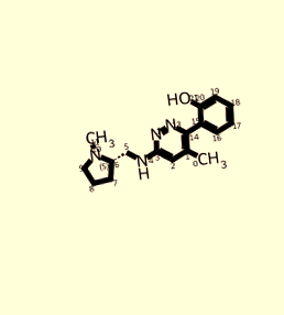 Cc1cc(NC[C@@H]2CCCN2C)nnc1-c1ccccc1O